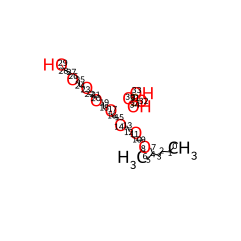 CCCCC(CC)COCCOCCOCCOCCOCCOCCOCCO.O=S(=O)(O)O